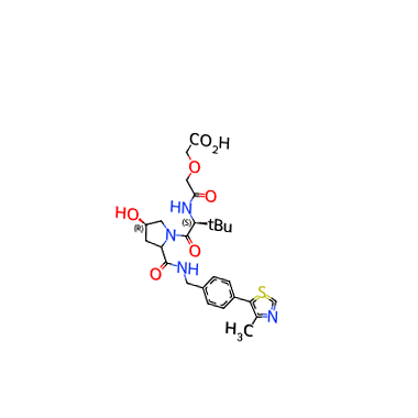 Cc1ncsc1-c1ccc(CNC(=O)C2C[C@@H](O)CN2C(=O)[C@@H](NC(=O)COCC(=O)O)C(C)(C)C)cc1